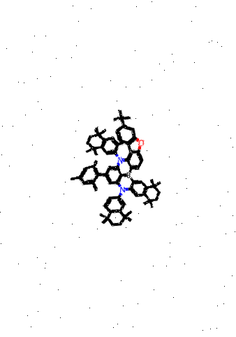 Cc1cc(C)c(-c2cc3c4c(c2)N(c2cc5c(cc2C)C(C)(C)CCC5(C)C)c2c(ccc5oc6cc(C(C)(C)C)ccc6c25)B4c2cc4c(cc2N3c2ccc3c(c2)C(C)(C)CCC3(C)C)C(C)(C)CCC4(C)C)c(C)c1